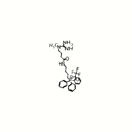 CN(CCCC(=O)NCCCCP(OC(=O)C(F)(F)F)(c1ccccc1)(c1ccccc1)c1ccccc1)C(=N)N